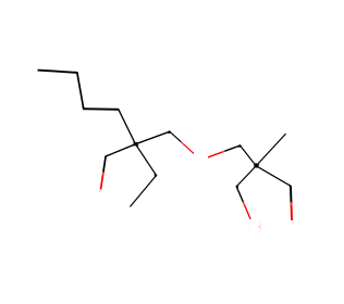 CCCCC(CC)(CO)COCC(C)(CO)CO